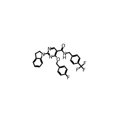 O=C(NCc1ccc(C(F)(F)F)cc1)c1cnc(N2CCc3ccccc32)nc1OCc1ccc(F)cc1